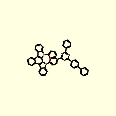 c1ccc(-c2ccc(-c3nc(-c4ccccc4)nc(-c4ccc(-n5c6ccccc6c6c7ccccc7c7c8ccccc8n(-c8ccccc8)c7c65)cc4)n3)cc2)cc1